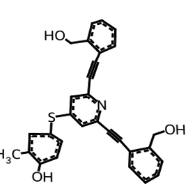 Cc1cc(Sc2cc(C#Cc3ccccc3CO)nc(C#Cc3ccccc3CO)c2)ccc1O